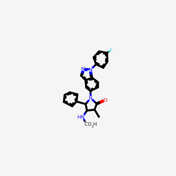 CC1C(=O)N(c2ccc3c(cnn3-c3ccc(F)cc3)c2)C(c2ccccc2)C1NC(=O)O